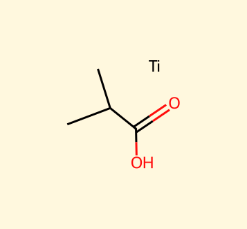 CC(C)C(=O)O.[Ti]